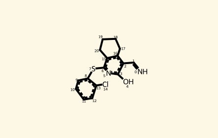 N=Cc1c(O)nc(Sc2ccccc2Cl)c2c1CCCC2